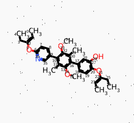 CC=C(CC)Oc1ccc(-c2c(C)c(OC)c(-c3ccc(OC(=CC)CC)c(O)c3)c(C)c2OC)cn1